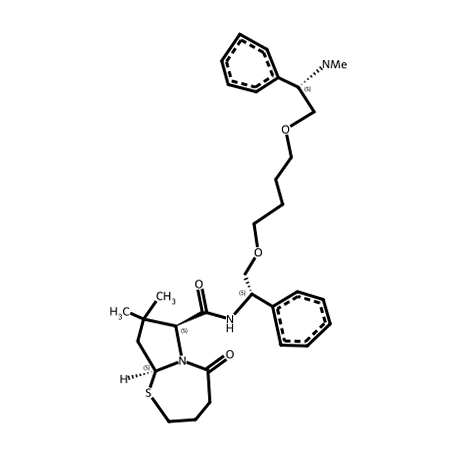 CN[C@H](COCCCCOC[C@@H](NC(=O)[C@H]1N2C(=O)CCCS[C@H]2CC1(C)C)c1ccccc1)c1ccccc1